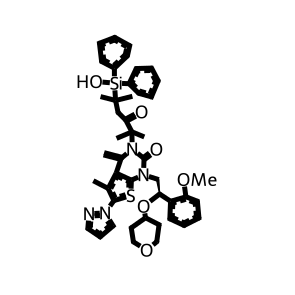 C=C1c2c(sc(-n3cccn3)c2C)N(C[C@H](OC2CCOCC2)c2ccccc2OC)C(=O)N1C(C)(C)C(=O)CC(C)(C)[Si](O)(c1ccccc1)c1ccccc1